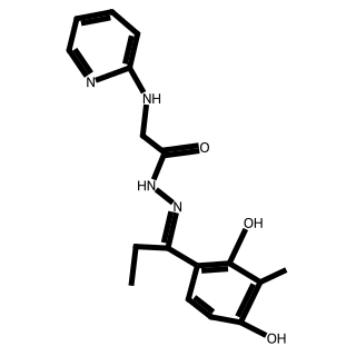 CC/C(=N\NC(=O)CNc1ccccn1)c1ccc(O)c(C)c1O